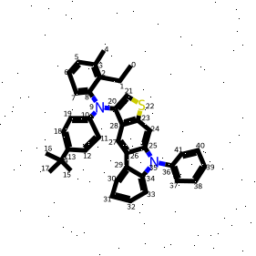 CCc1c(C)cccc1N(c1ccc(C(C)(C)C)cc1)c1csc2cc3c(cc12)c1ccccc1n3-c1ccccc1